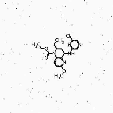 CCOC(=O)N1c2ccc(OC)nc2C(Nc2cncc(Cl)n2)CC1CC